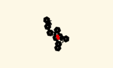 c1cc(-c2ccc3c(c2)sc2ccccc23)cc(N(c2ccc(-c3ccc4ccccc4c3)cc2)c2ccccc2-c2ccc3sc4ccccc4c3c2)c1